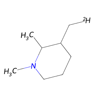 [2H]CC1CCCN(C)C1C